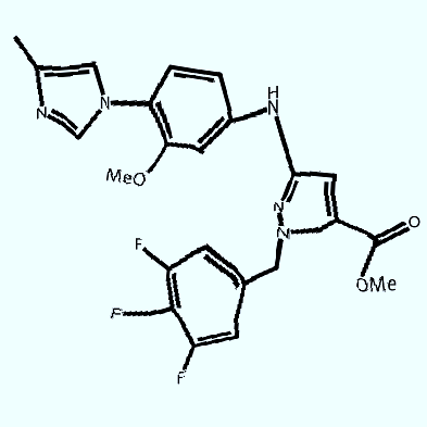 COC(=O)c1cc(Nc2ccc(-n3cnc(C)c3)c(OC)c2)nn1Cc1cc(F)c(F)c(F)c1